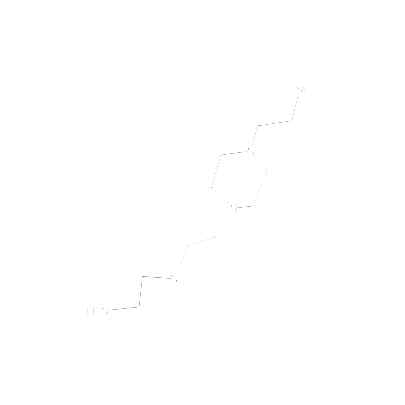 NCCNCCN1CCN(CCN)CC1